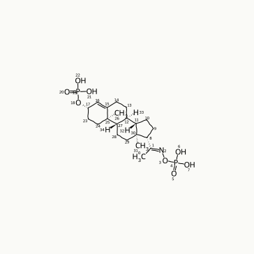 C/C(=N\OP(=O)(O)O)[C@H]1CC[C@H]2[C@@H]3CCC4=C[C@@H](OP(=O)(O)O)CC[C@]4(C)[C@H]3CC[C@]12C